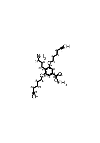 C#CCCCCOc1cc(C(=O)OC)cc(OCCCCC#C)c1CCCN